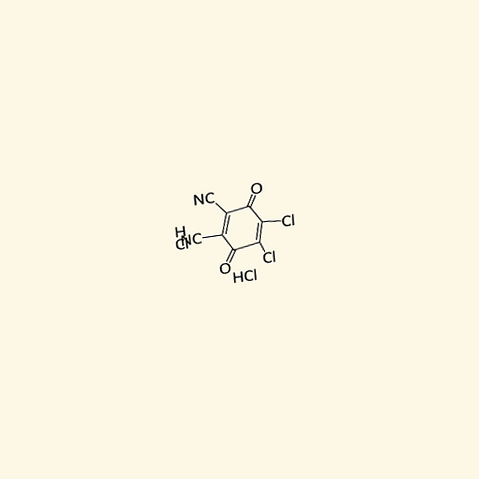 Cl.Cl.N#CC1=C(C#N)C(=O)C(Cl)=C(Cl)C1=O